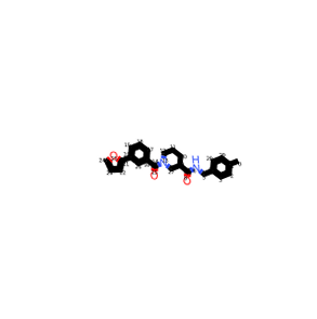 Cc1ccc(CNC(=O)C2CCCN(C(=O)c3cccc(-c4ccco4)c3)C2)cc1